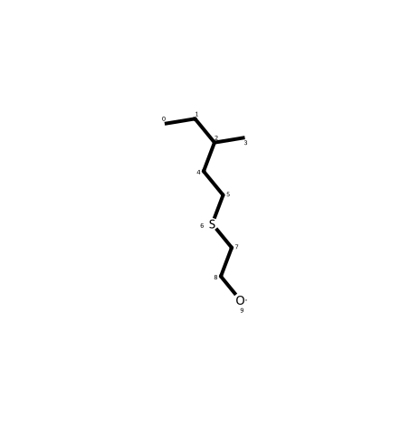 CCC(C)CCSCC[O]